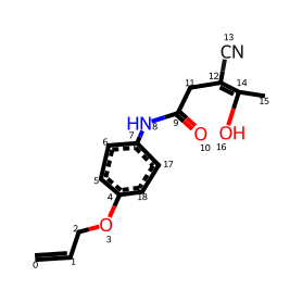 C=CCOc1ccc(NC(=O)CC(C#N)=C(C)O)cc1